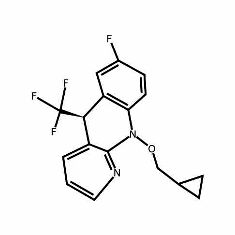 Fc1ccc2c(c1)[C@H](C(F)(F)F)c1cccnc1N2OCC1CC1